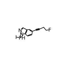 FCCC#Cc1ccc2c(cnn2PI)c1